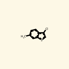 Cc1ccc2c(Cl)[c]sc2c1